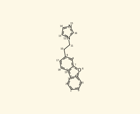 c1ccc2c(c1)oc1cc(CCn3ccnc3)ccc12